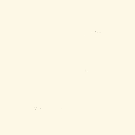 COC(=O)CCCc1c[nH]c2cc(C(=O)OC)ccc12